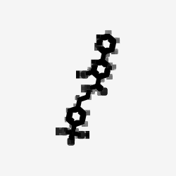 O=C(NCCc1ccc(P(=O)(O)O)cc1)c1cnc(-c2cccnn2)nc1O